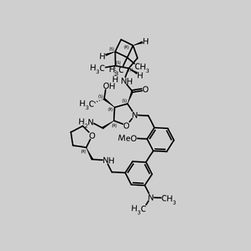 COc1c(CN2O[C@@H](CN)[C@@H]([C@H](C)O)[C@H]2C(=O)N[C@H]2C[C@H]3C[C@@H]([C@@H]2C)C3(C)C)cccc1-c1cc(CNC[C@H]2CCCO2)cc(N(C)C)c1